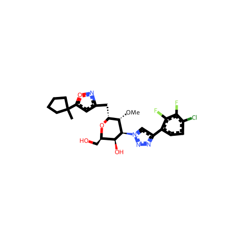 CO[C@@H]1[C@@H](n2cc(-c3ccc(Cl)c(F)c3F)nn2)[C@@H](O)[C@@H](CO)O[C@@H]1Cc1cc(C2(C)CCCC2)on1